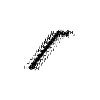 C=C(C)C(=O)NCCC[N+](C)(C)CCCC[Si](C)(C)O[Si](C)(C)CC[Si](C)(C)OO[Si](C)(C)CC[Si](C)(C)OO[Si](C)(C)CC[Si](C)(C)OO[Si](C)(C)CC[Si](C)(C)OO[Si](C)(C)CC[Si](C)(C)OO[Si](C)(C)CC[Si](C)(C)OO[Si](C)(C)CC[Si](C)(C)OO[Si](C)(C)CC[Si](C)(C)OO[Si](C)(C)CC[Si](C)(C)O[Si](C)(C)C